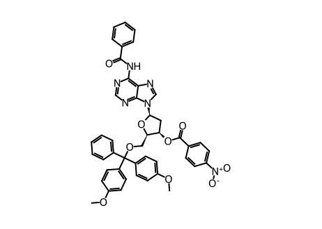 COc1ccc(C(OC[C@H]2O[C@@H](n3cnc4c(NC(=O)c5ccccc5)ncnc43)C[C@H]2OC(=O)c2ccc([N+](=O)[O-])cc2)(c2ccccc2)c2ccc(OC)cc2)cc1